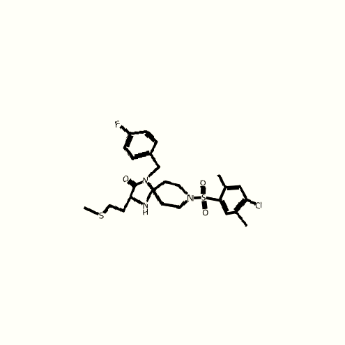 CSCCC1NC2(CCN(S(=O)(=O)c3cc(C)c(Cl)cc3C)CC2)N(Cc2ccc(F)cc2)C1=O